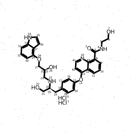 Cl.Cl.O=C(NCCO)c1cccc2c(Oc3ccc(C[C@@H](CO)NC[C@H](O)COc4cccc5[nH]ccc45)cc3)ccnc12